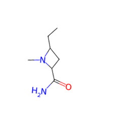 CCC1CC(C(N)=O)N1C